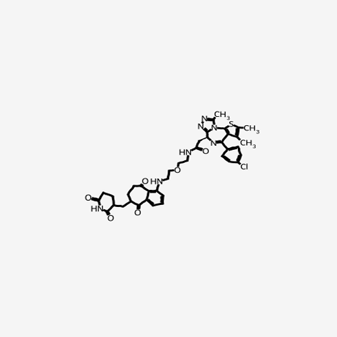 Cc1sc2c(c1C)C(c1ccc(Cl)cc1)=N[C@@H](CC(=O)NCCOCCNc1cccc3c1C(=O)CCC(CC1CCC(=O)NC1=O)C3=O)c1nnc(C)n1-2